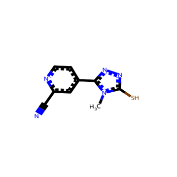 Cn1c(S)nnc1-c1ccnc(C#N)c1